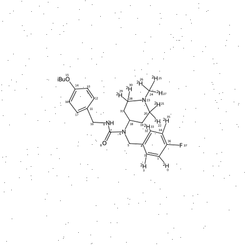 [2H]c1c([2H])c(CN(C(=O)NCc2ccc(OCC(C)C)cc2)C2CC([2H])([2H])N(C([2H])([2H])[2H])C([2H])([2H])C2)c([2H])c([2H])c1F